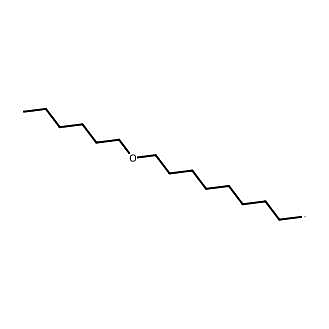 [CH2]CCCCCCCCOCCCCCC